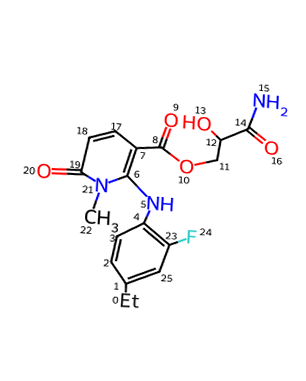 CCc1ccc(Nc2c(C(=O)OCC(O)C(N)=O)ccc(=O)n2C)c(F)c1